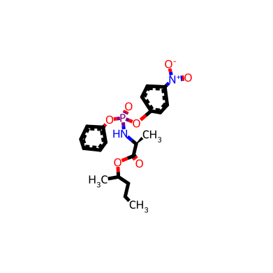 CCCC(C)OC(=O)[C@H](C)NP(=O)(Oc1ccccc1)Oc1ccc([N+](=O)[O-])cc1